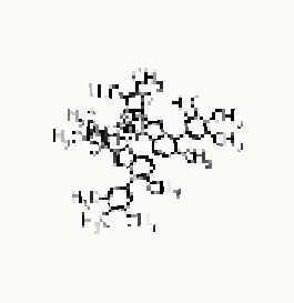 Cc1cc(C2=Cc3c(ccc(C)c3-c3cc(C)c(C)c(C)c3)[CH]2[Zr]([Cl])([Cl])([CH]2C(c3cc(C)c(C)o3)=Cc3c2ccc(C)c3-c2cc(C)c(C)c(C)c2)=[Si](C)C)oc1C